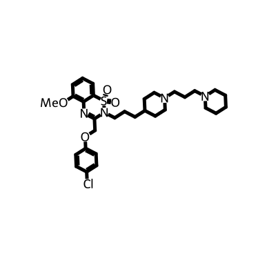 COc1cccc2c1N=C(COc1ccc(Cl)cc1)N(CCCC1CCN(CCCN3CCCCC3)CC1)S2(=O)=O